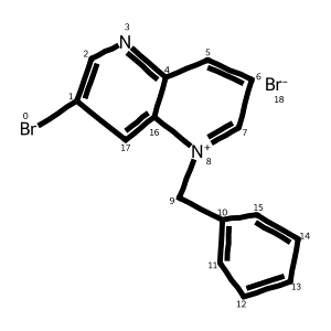 Brc1cnc2ccc[n+](Cc3ccccc3)c2c1.[Br-]